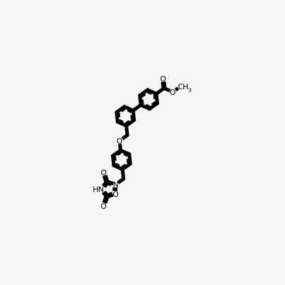 COC(=O)c1ccc(-c2cccc(COc3ccc(Cn4oc(=O)[nH]c4=O)cc3)c2)cc1